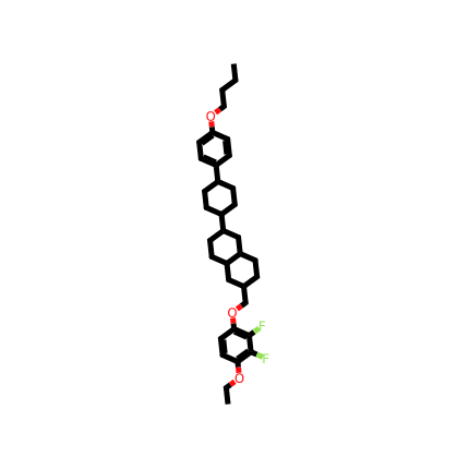 CCCCOc1ccc(C2CCC(C3CCC4CC(COc5ccc(OCC)c(F)c5F)CCC4C3)CC2)cc1